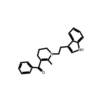 CC1=C(C(=O)c2ccccc2)CCCN1CCc1c[nH]c2ccccc12